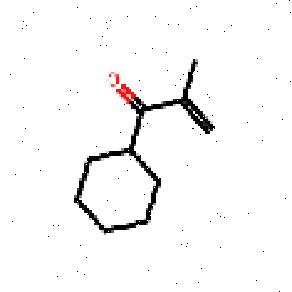 C=C(C)C(=O)[C]1CCCCC1